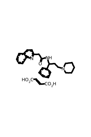 O=C(Cc1ccc2ccccc2n1)NC(CCN1CCCCC1)c1ccccc1.O=C(O)C=CC(=O)O